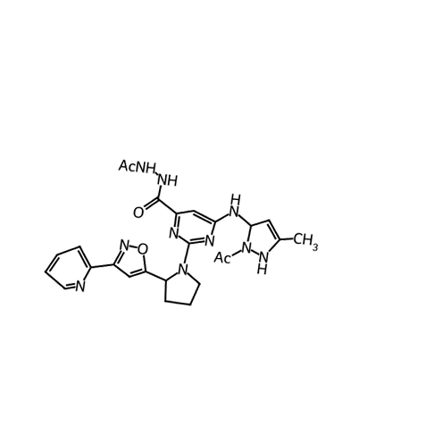 CC(=O)NNC(=O)c1cc(NC2C=C(C)NN2C(C)=O)nc(N2CCCC2c2cc(-c3ccccn3)no2)n1